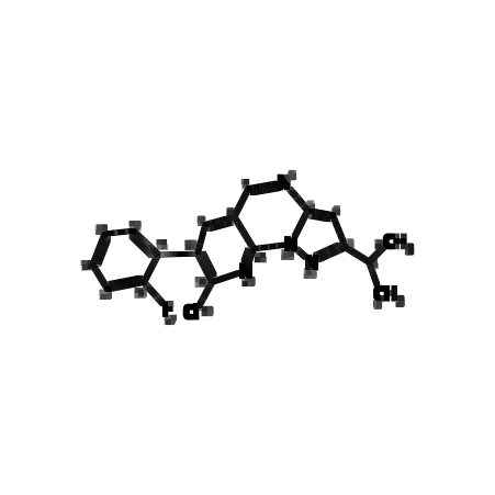 CC(C)c1cc2ncc3cc(-c4ccccc4F)c(Cl)nc3n2n1